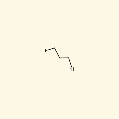 [3H]CCCF